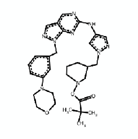 CC(C)(C)C(=O)ON1CCCC(Cn2cc(Nc3ncc4cnn(Cc5cccc(N6CCOCC6)c5)c4n3)cn2)C1